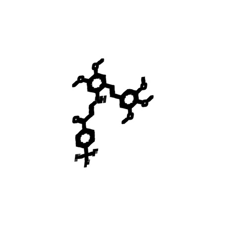 COc1cc(C=Cc2cc(OC)c(OC)c(OC)c2)c(NC=CC(=O)c2ccc(C(F)(F)F)cc2)cc1OC